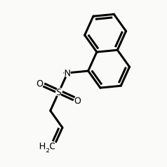 C=CCS(=O)(=O)[N]c1cccc2ccccc12